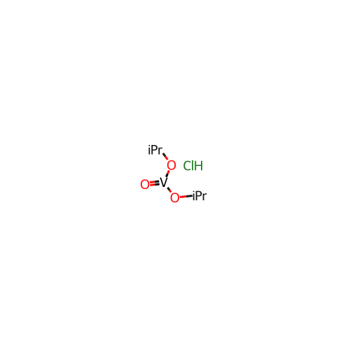 CC(C)[O][V](=[O])[O]C(C)C.Cl